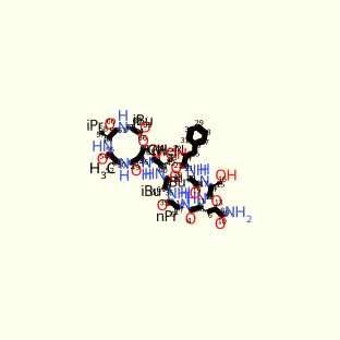 CCC[C@@H](NC(=O)[C@@H](CCC(N)=O)NC(=O)[C@H](CO)NC(=O)[C@@H](NC(=O)[C@@H](Cc1ccccc1)NC)[C@@H](C)CC)C(=O)N[C@H](C(=O)N[C@@H](CO)C(=O)N[C@H]1C(=O)N[C@@H](C)C(=O)N[C@@H](CC(C)C)C(=O)N[C@@H]([C@@H](C)CC)C(=O)O[C@H]1C)[C@@H](C)CC